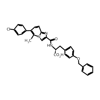 Cc1c(-c2ccc(Cl)cc2)ccc2nc(C(=O)N[C@@H](Cc3ccc(OCc4ccccc4)cc3)C(=O)O)cn12